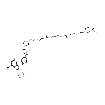 N#Cc1cc(Cl)cc2c1C[C@H](N1CCNCC1)[C@H]2Oc1ccc(S(=O)(=O)NC(=O)[C@H]2CCN(CCOCCNC(=O)NCCCCNC(=O)NCCOCCN3CCC(C(N)=O)C3)C2)cc1